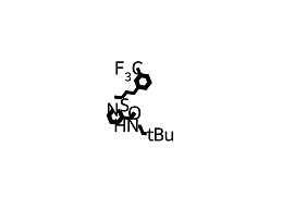 CC(CCc1cccc(C(F)(F)F)c1)Sc1ncccc1C(=O)NCCC(C)(C)C